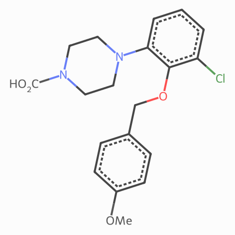 COc1ccc(COc2c(Cl)cccc2N2CCN(C(=O)O)CC2)cc1